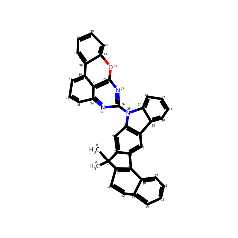 CC1(C)c2cc3c(cc2-c2c1ccc1ccccc21)c1ccccc1n3-c1nc2c3c(cccc3n1)-c1ccccc1O2